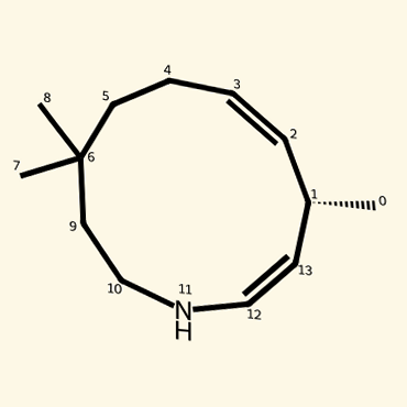 C[C@H]1/C=C\CCC(C)(C)CCN/C=C\1